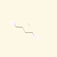 CO.NCCCCN